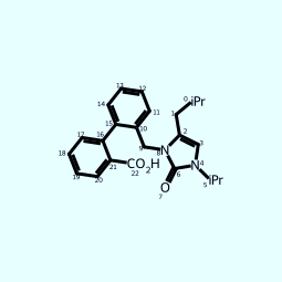 CC(C)Cc1cn(C(C)C)c(=O)n1Cc1ccccc1-c1ccccc1C(=O)O